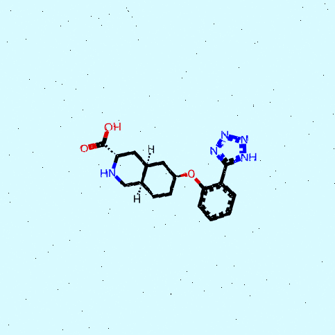 O=C(O)[C@@H]1C[C@H]2C[C@@H](Oc3ccccc3-c3nnn[nH]3)CC[C@H]2CN1